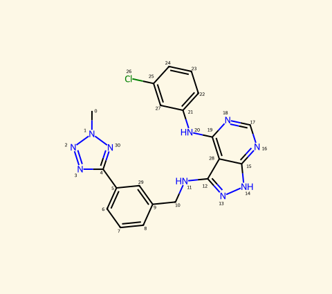 Cn1nnc(-c2cccc(CNc3n[nH]c4ncnc(Nc5cccc(Cl)c5)c34)c2)n1